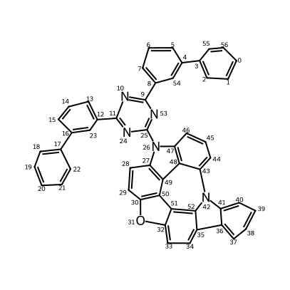 c1ccc(-c2cccc(-c3nc(-c4cccc(-c5ccccc5)c4)nc(-n4c5ccc6oc7ccc8c9ccccc9n9c%10cccc4c%10c5c6c7c89)n3)c2)cc1